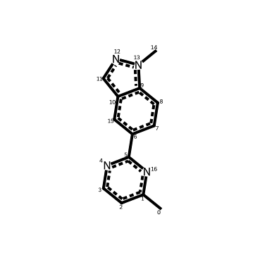 Cc1ccnc(-c2ccc3c(cnn3C)c2)n1